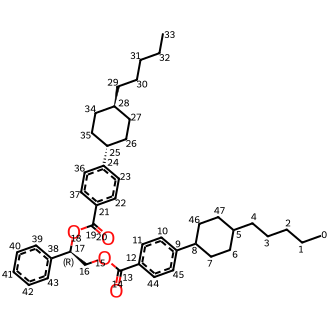 CCCCCC1CCC(c2ccc(C(=O)OC[C@H](OC(=O)c3ccc([C@H]4CC[C@H](CCCCC)CC4)cc3)c3ccccc3)cc2)CC1